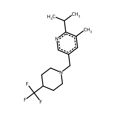 Cc1cc(CN2CCC(C(F)(F)F)CC2)cnc1C(C)C